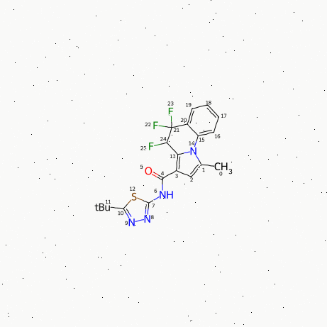 Cc1cc(C(=O)Nc2nnc(C(C)(C)C)s2)c2n1-c1ccccc1C(F)(F)C2F